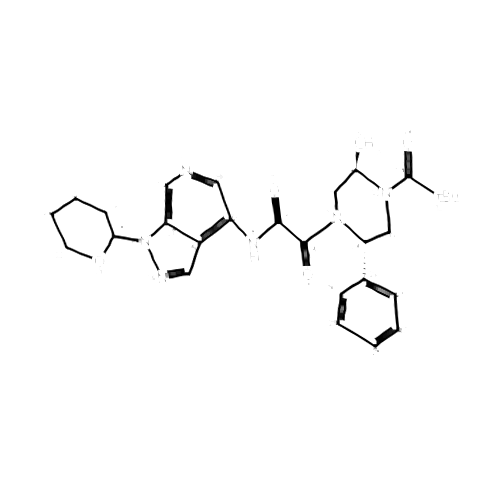 C[C@@H]1CN(C(=O)C(=O)Nc2cncc3c2cnn3C2CCCCO2)[C@@H](c2ccccc2)CN1C(=O)C(C)(C)C